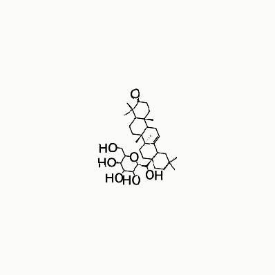 CC1(C)CC[C@]2(C(O)[C@@H]3OC(CO)[C@H](O)C(O)C3O)CC[C@]3(C)C(=CCC4[C@@]5(C)CCC(=O)C(C)(C)C5CC[C@]43C)C2C1